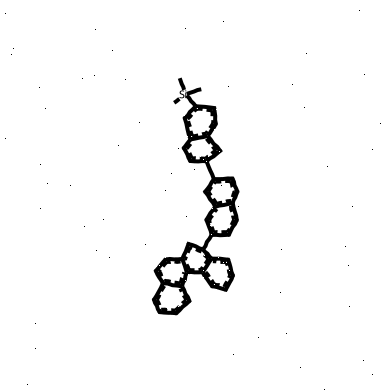 C[Si](C)(C)c1ccc2cc(-c3ccc4ccc(-c5cc6ccc7ccccc7c6c6ccccc56)cc4c3)ccc2c1